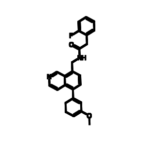 COC1=CCCC(c2ccc(CNC(=O)Cc3ccccc3F)c3cnccc23)=C1